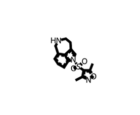 Cc1noc(C)c1S(=O)(=O)n1cc2c3c(cccc31)CNCC2